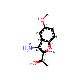 COc1ccc2oc(C(C)=O)c(N)c2c1